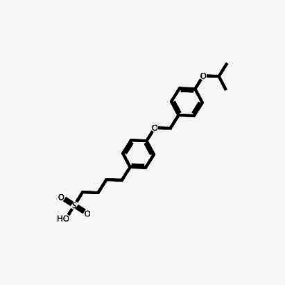 CC(C)Oc1ccc(COc2ccc(CCCCS(=O)(=O)O)cc2)cc1